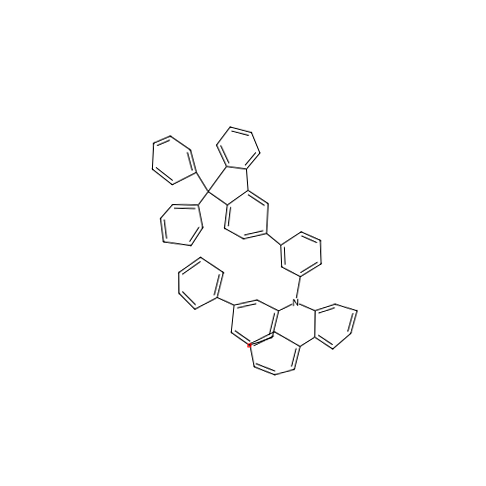 c1ccc(-c2cccc(N(c3cccc(-c4ccc5c(c4)-c4ccccc4C5(c4ccccc4)c4ccccc4)c3)c3ccccc3-c3ccccc3)c2)cc1